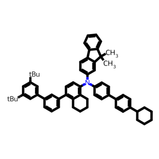 CC(C)(C)c1cc(-c2cccc(-c3ccc(N(c4ccc(-c5ccc(C6CCCCC6)cc5)cc4)c4ccc5c(c4)C(C)(C)c4ccccc4-5)c4c3CCCC4)c2)cc(C(C)(C)C)c1